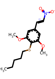 CCCCCSc1c(OC)cc(/C=C/[N+](=O)[O-])cc1OC